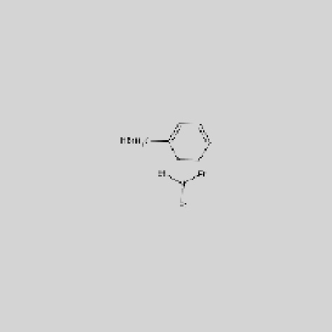 Br.CCN(CC)CC.Cc1ccccc1